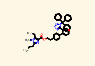 CCCc1nc(C(=O)OCCc2ccc(-c3ccccc3-c3nnnn3C(c3ccccc3)(c3ccccc3)c3ccccc3)cc2)c(CC)n1C